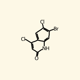 O=c1cc(Cl)c2cc(Cl)c(Br)cc2[nH]1